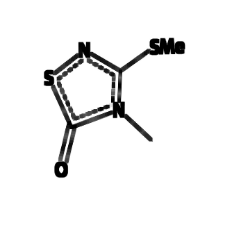 CSc1nsc(=O)n1C